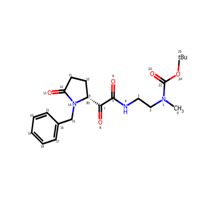 CN(CCNC(=O)C(=O)[C@H]1CCC(=O)N1Cc1ccccc1)C(=O)OC(C)(C)C